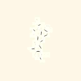 CCCCc1c2c(nc3cc4c(c(N(C(=O)Cl)C(=O)OC(C)(C)C)c13)OCO4)-c1cc3c(c(=O)n1C2)COC(=O)[C@H]3O